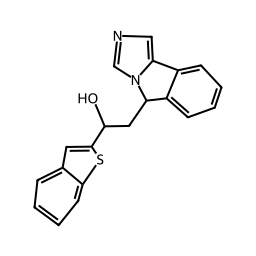 OC(CC1c2ccccc2-c2cncn21)c1cc2ccccc2s1